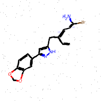 C=C/C(=C\C=C(/N)Br)Cc1cc(-c2ccc3c(c2)OCO3)n[nH]1